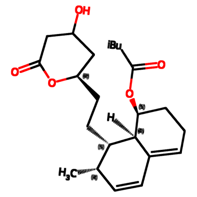 CCC(C)C(=O)O[C@H]1CCC=C2C=C[C@H](C)[C@H](CC[C@@H]3CC(O)CC(=O)O3)[C@H]21